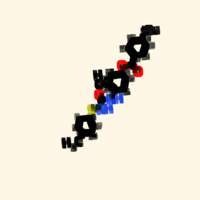 Cc1ccc(SNC(=O)Nc2ccc(OC(=O)c3ccc(C(C)(C)C)cc3)cc2C)cc1